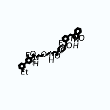 CCc1cccc(-c2cc(F)c(C(=O)NCCOCCNCC(=O)N3CCN(C(=O)c4cc(Cc5n[nH]c(=O)c6ccccc56)ccc4F)CC3)c(F)c2)c1